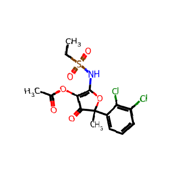 CCS(=O)(=O)NC1=C(OC(C)=O)C(=O)C(C)(c2cccc(Cl)c2Cl)O1